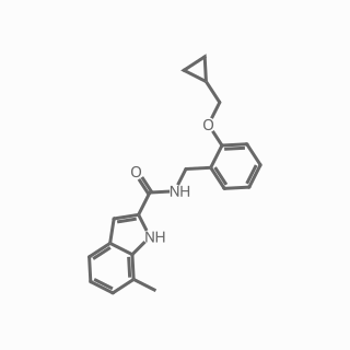 Cc1cccc2cc(C(=O)NCc3ccccc3OCC3CC3)[nH]c12